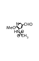 COc1ncc(C=O)cc1NS(C)(=O)=O